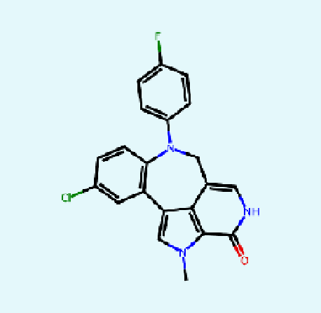 Cn1cc2c3c(c[nH]c(=O)c31)CN(c1ccc(F)cc1)c1ccc(Cl)cc1-2